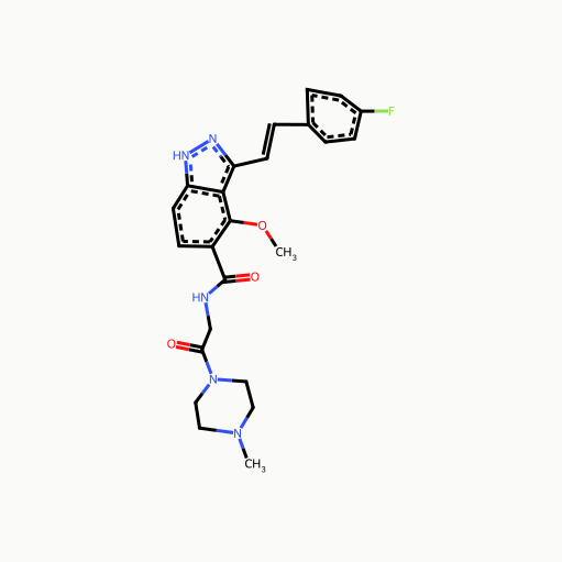 COc1c(C(=O)NCC(=O)N2CCN(C)CC2)ccc2[nH]nc(/C=C/c3ccc(F)cc3)c12